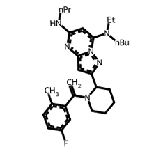 C=C(c1cc(F)ccc1C)N1CCCCC1c1cc2nc(NCCC)cc(N(CC)CCCC)n2n1